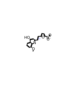 COc1cccc2c(O)cc(/C=C/c3ccc([N+](=O)[O-])o3)nc12